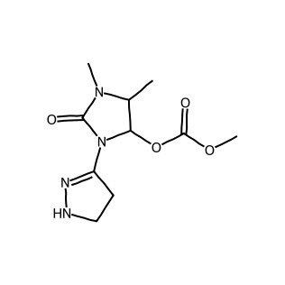 COC(=O)OC1C(C)N(C)C(=O)N1C1=NNCC1